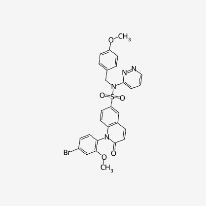 COc1ccc(CN(c2cccnn2)S(=O)(=O)c2ccc3c(ccc(=O)n3-c3ccc(Br)cc3OC)c2)cc1